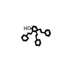 Oc1[c]cc(C=Cc2ccccc2)c(C=Cc2ccccc2)c1C=Cc1ccccc1